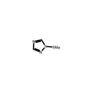 [CH2]Sn1cncn1